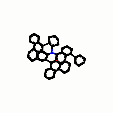 c1ccc(-c2cccc3c(N(c4ccccc4-c4cc5ccccc5c5ccccc45)c4ccccc4-c4cc5ccccc5c5ccccc45)cccc23)cc1